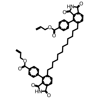 C=CCOC(=O)c1ccc(-c2c(CCCCCCCCCCCCc3ccc4c(c3-c3ccc(C(=O)OCC=C)cc3)C(=O)NC4=O)ccc3c2C(=O)NC3=O)cc1